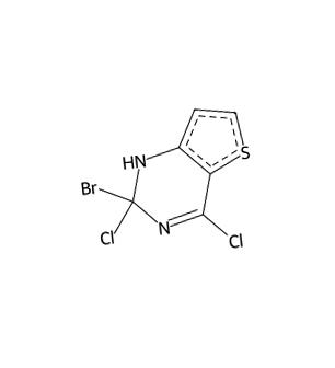 ClC1=NC(Cl)(Br)Nc2ccsc21